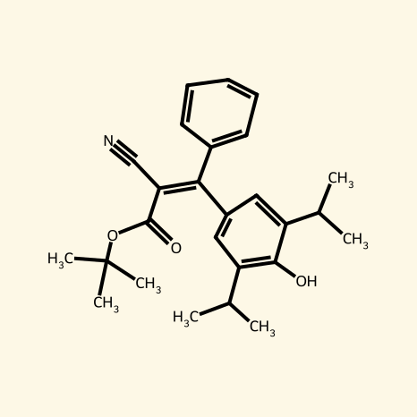 CC(C)c1cc(C(=C(C#N)C(=O)OC(C)(C)C)c2ccccc2)cc(C(C)C)c1O